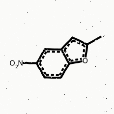 [CH2]c1cc2cc([N+](=O)[O-])ccc2o1